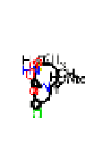 CO[C@@]1(C)CCC[C@H](C)[C@@H](C)S(=O)(=O)NC(=O)c2ccc3c(c2)N(CCCCc2cc(Cl)ccc2CO3)C[C@@H]2CC[C@H]21